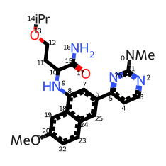 CNc1nccc(-c2cc(NC(CCOC(C)C)C(N)=O)c3cc(OC)ccc3c2)n1